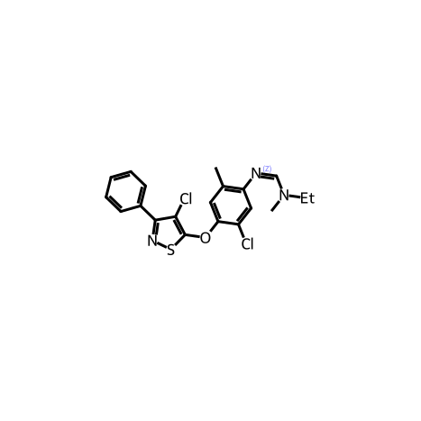 CCN(C)/C=N\c1cc(Cl)c(Oc2snc(-c3ccccc3)c2Cl)cc1C